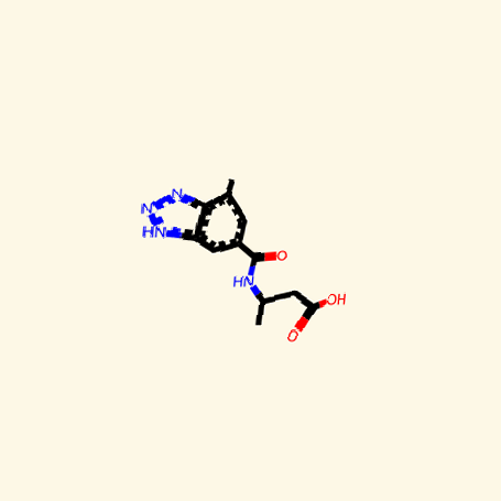 Cc1cc(C(=O)NC(C)CC(=O)O)cc2[nH]nnc12